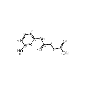 O=C(O)CCC(=O)Nc1cc(O)n[c]n1